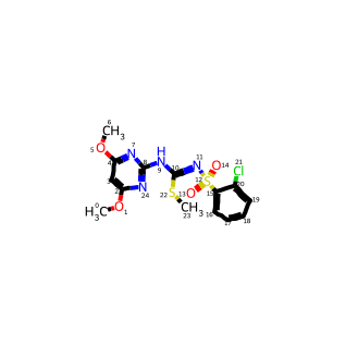 COc1cc(OC)nc(N/C(=N/S(=O)(=O)c2ccccc2Cl)SC)n1